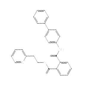 O=C(NCCc1ccccn1)c1ccccc1C(=O)Nc1ccc(-c2ccccc2)cc1